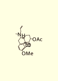 C=CCN(C)C1Cc2ccc(OC)c3c2[C@]2(CC)C(O3)C(OC(C)=O)CC[C@H]12